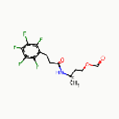 C[C@@H](CCOC=O)NC(=O)CCc1c(F)c(F)c(F)c(F)c1F